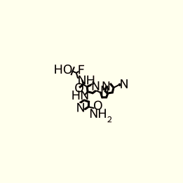 CC(C)(O)C(F)CNC(=O)c1cnc(-c2ccc3cc(C#N)cnn23)cc1Nc1cncc(C(N)=O)c1